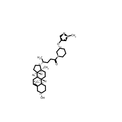 CC(CCC(=O)N1CCC[C@@H](Oc2cnn(C)c2)C1)[C@H]1CC[C@H]2[C@@H]3CC=C4C[C@@H](O)CC[C@]4(C)[C@H]3CC[C@]12C